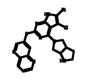 CCc1[nH]c2nc(Sc3cnc4cccnc4c3)nc(N3CC4CCNC4C3)c2c1Cl